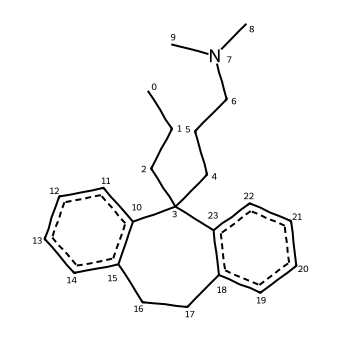 CCCC1(CCCN(C)C)c2ccccc2CCc2ccccc21